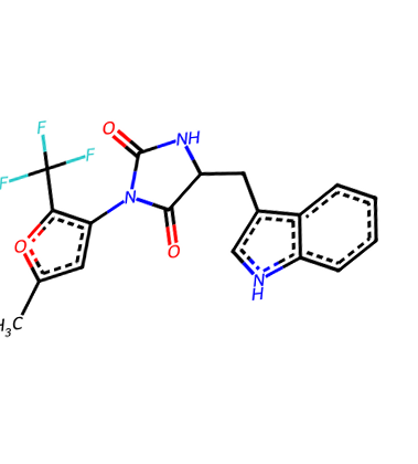 Cc1cc(N2C(=O)NC(Cc3c[nH]c4ccccc34)C2=O)c(C(F)(F)F)o1